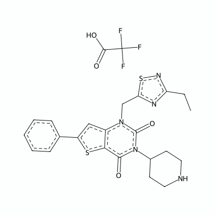 CCc1nsc(Cn2c(=O)n(C3CCNCC3)c(=O)c3sc(-c4ccccc4)cc32)n1.O=C(O)C(F)(F)F